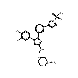 CS(=O)(=O)n1cc(-c2cccc(-n3nc(NC[C@H]4CCC[C@H](N)C4)cc3-c3ccc(C#N)c(F)c3)c2)cn1